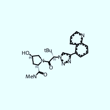 CNC(=O)[C@@H]1C[C@@H](O)CN1C(=O)[C@@H](n1cc(-c2cccc3ncccc23)nn1)C(C)(C)C